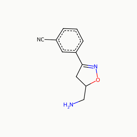 N#Cc1cccc(C2=NOC(CN)C2)c1